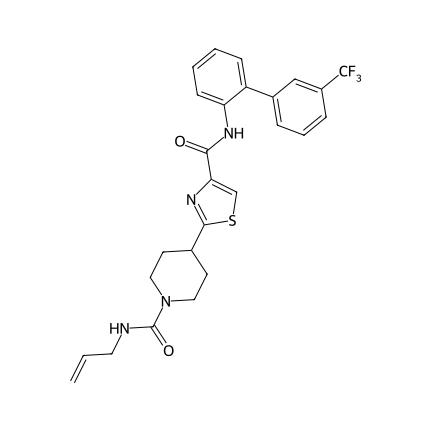 C=CCNC(=O)N1CCC(c2nc(C(=O)Nc3ccccc3-c3cccc(C(F)(F)F)c3)cs2)CC1